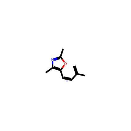 C=C(C)/C=C\c1oc(C)nc1C